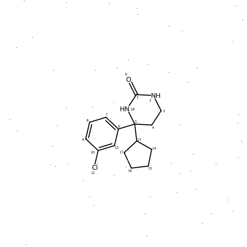 O=C1NCCC(c2cccc(Cl)c2)(C2CCCC2)N1